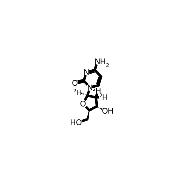 [2H]C1([2H])[C@H](O)[C@@H](CO)O[C@@]1([2H])n1ccc(N)nc1=O